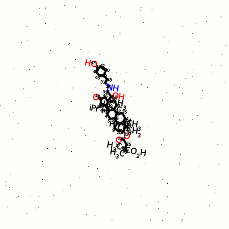 CC(C)C1=C2[C@H]3CC[C@@H]4[C@@]5(C)CC[C@H](OC(=O)CC(C)(C)C(=O)O)C(C)(C)[C@@H]5CC[C@@]4(C)[C@]3(C)CCC2(C(O)CNCCc2ccc(O)cc2)CC1=O